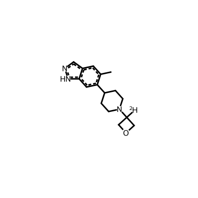 [2H]C1(N2CCC(c3cc4[nH]ncc4cc3C)CC2)COC1